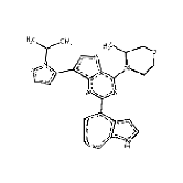 CC1COCCN1c1nc(-c2cccc3[nH]ccc23)nc2c(-c3ccnn3C(C)C)csc12